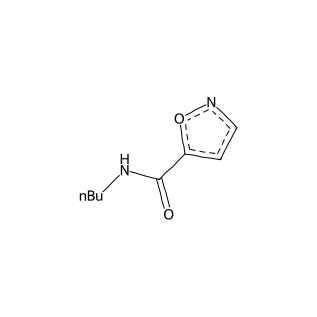 CCCCNC(=O)c1ccno1